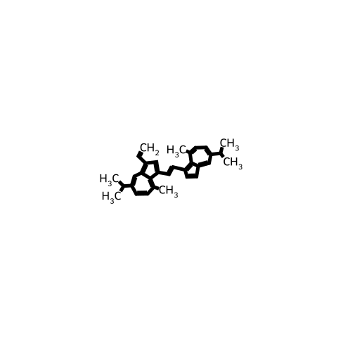 C=Cc1cc(C=Cc2ccc3cc(C(C)C)ccc(C)c2-3)c2c(C)ccc(C(C)C)cc1-2